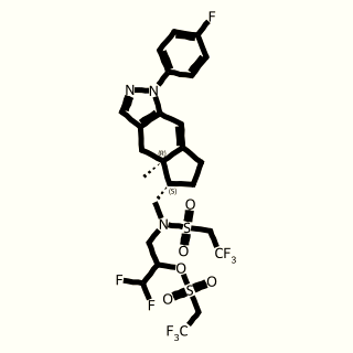 C[C@]12Cc3cnn(-c4ccc(F)cc4)c3C=C1CC[C@@H]2CN(CC(OS(=O)(=O)CC(F)(F)F)C(F)F)S(=O)(=O)CC(F)(F)F